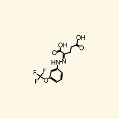 O=C(O)CCC(=NNc1cccc(OC(F)(F)F)c1)C(=O)O